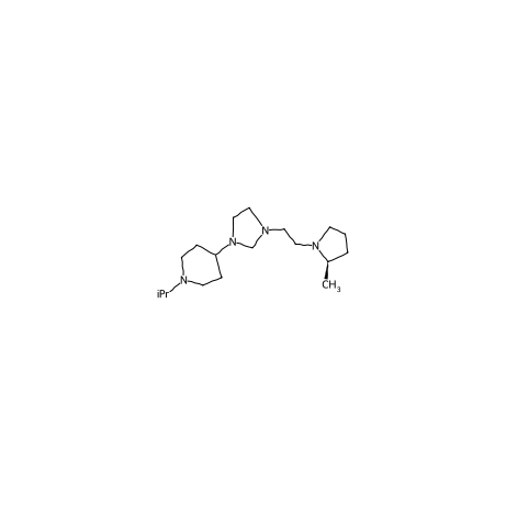 CC(C)N1CCC(N2CCN(CCN3CCC[C@H]3C)C2)CC1